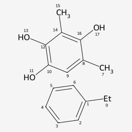 CCc1ccccc1.Cc1cc(O)c(O)c(C)c1O